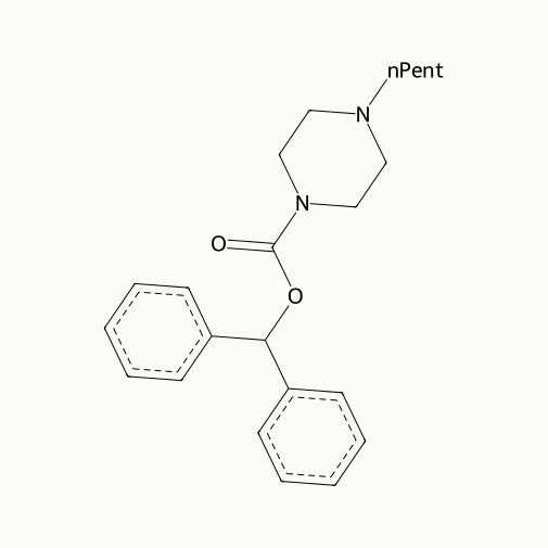 CCCCCN1CCN(C(=O)OC(c2ccccc2)c2ccccc2)CC1